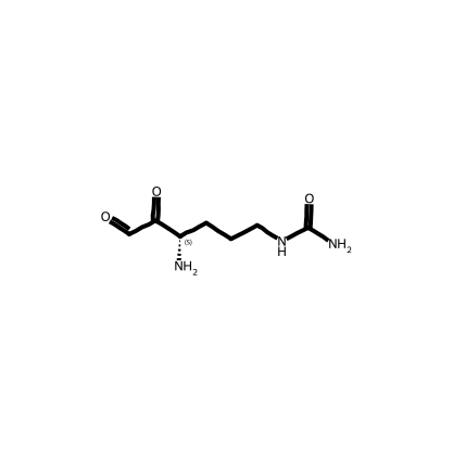 NC(=O)NCCC[C@H](N)C(=O)C=O